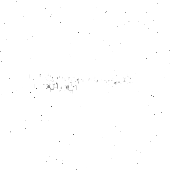 COCCN(CC(=O)OCCN(CC(=O)OCCOCCOCCOCC(=O)OCc1ccccc1)C(=O)OC(C)(C)C)C(=O)OC(C)(C)C